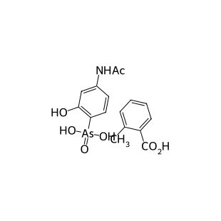 CC(=O)Nc1ccc([As](=O)(O)O)c(O)c1.Cc1ccccc1C(=O)O